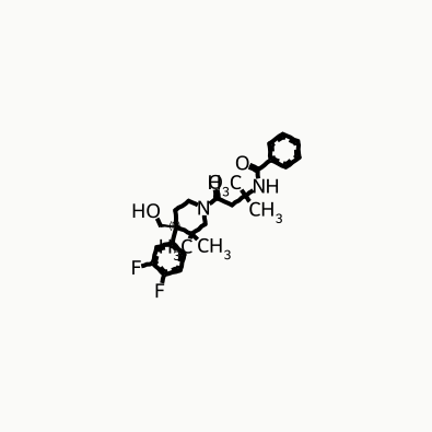 CC(C)(CC(=O)N1CC[C@@](CO)(c2ccc(F)c(F)c2)C(C)(C)C1)NC(=O)c1ccccc1